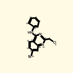 ClCc1nc(Nc2ccccc2)c2ccc(Br)cc2n1